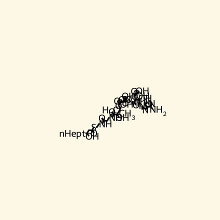 CCCCCCCC(O)CC(=O)SCCNC(=O)CCNC(=O)C(O)C(C)(C)COP(=O)(O)OP(=O)(O)OC[C@H]1O[C@@H](n2cnc3c(N)ncnc32)[C@H](O)[C@@H]1OP(=O)(O)O